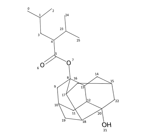 CC(C)CC(C(=O)OC12CC3CC4C1CC1CC2C(C3)C4(O)C1)C(C)C